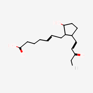 CCC(=O)/C=C/C1CCC(O)C1C/C=C/CCCC(=O)O